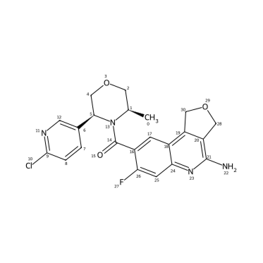 C[C@@H]1COC[C@H](c2ccc(Cl)nc2)N1C(=O)c1cc2c3c(c(N)nc2cc1F)COC3